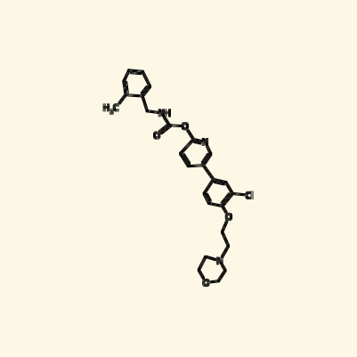 Cc1ccccc1CNC(=O)Oc1ccc(-c2ccc(OCCN3CCOCC3)c(Cl)c2)cn1